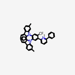 Cc1ccc2c3ccccc3n(-c3cc(-c4cccc(-c5ccccc5)n4)c(C(F)(F)F)cc3-n3c4ccccc4c4ccc(C)cc43)c2c1